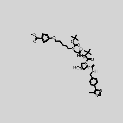 C=C(NCc1ccc(-c2scnc2C)cc1)[C@@H]1C[C@@H](O)CN1C(=O)[C@@H](NC(=O)CN(CCCCCOc1ccc(C(=O)OC)cc1)C(=O)OC(C)(C)C)C(C)(C)C